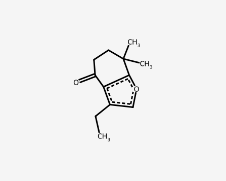 CCc1coc2c1C(=O)CCC2(C)C